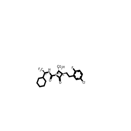 O=C(O)[C@@H]1[C@@H](CCc2cc(Cl)ccc2F)C(=O)N1C(=O)N[C@@H](C1CCCCC1)C(F)(F)F